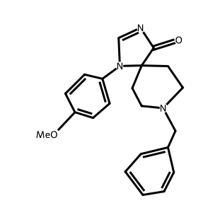 COc1ccc(N2C=NC(=O)C23CCN(Cc2ccccc2)CC3)cc1